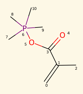 C=C(C)C(=O)OP(C)(C)(C)C